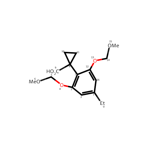 CCc1cc(OCOC)c(C2(C(=O)O)CC2)c(OCOC)c1